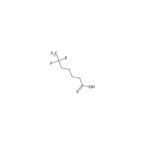 OC(=S)CCCCC(F)(F)C(F)(F)F